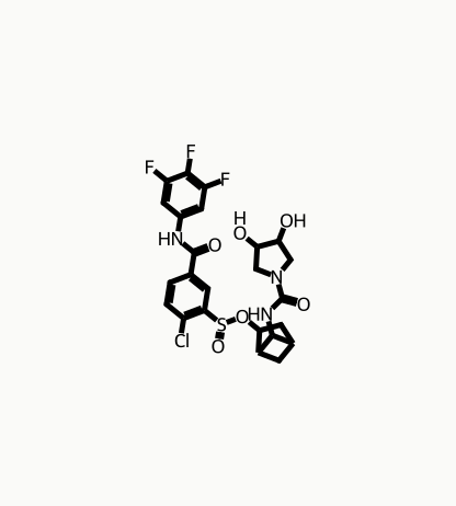 O=C(Nc1cc(F)c(F)c(F)c1)c1ccc(Cl)c(S(=O)OC2CC3CC2C3NC(=O)N2CC(O)C(O)C2)c1